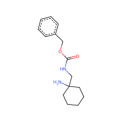 NC1(CNC(=O)OCc2ccccc2)CCCCC1